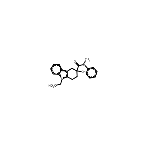 CN(C(=O)C1(C)CCc2c(c3ccccc3n2CC(=O)O)C1)c1ccccc1